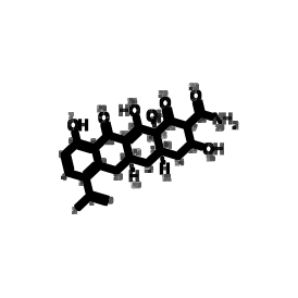 C=C(C)c1ccc(O)c2c1C[C@@H]1C[C@@H]3CC(O)C(C(N)=O)C(=O)[C@]3(O)C(O)=C1C2=O